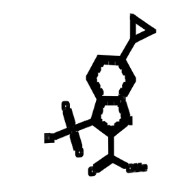 CCS(=O)(=O)c1c(C(=O)OC)nn2cc(C3CC3)ccc12